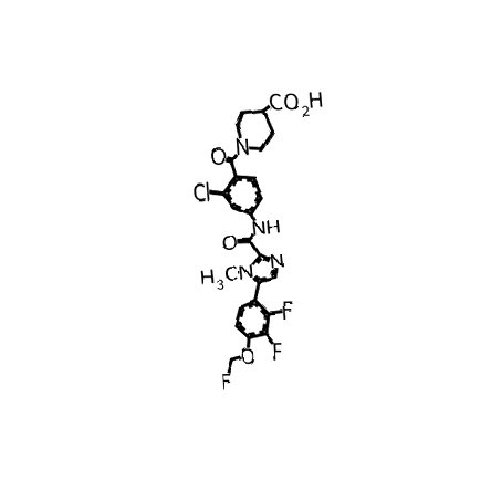 Cn1c(-c2ccc(OCF)c(F)c2F)cnc1C(=O)Nc1ccc(C(=O)N2CCC(C(=O)O)CC2)c(Cl)c1